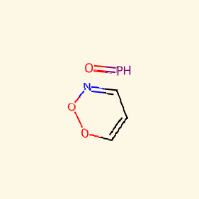 C1=COON=C1.O=P